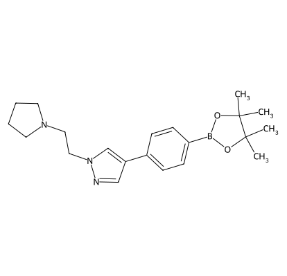 CC1(C)OB(c2ccc(-c3cnn(CCN4CCCC4)c3)cc2)OC1(C)C